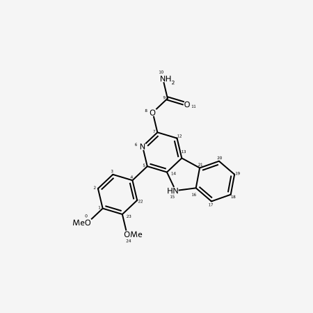 COc1ccc(-c2nc(OC(N)=O)cc3c2[nH]c2ccccc23)cc1OC